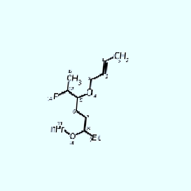 CC=CCOC(CCC(CC)OCCC)C(C)F